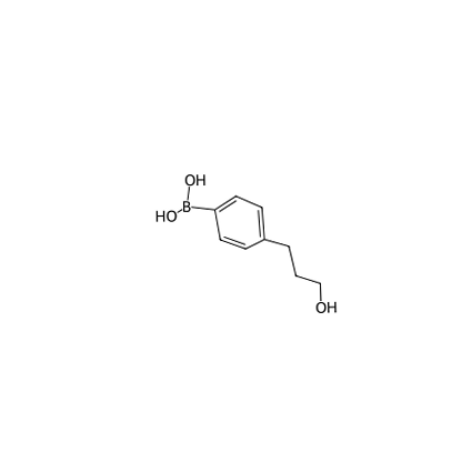 OCCCc1ccc(B(O)O)cc1